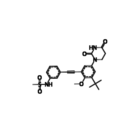 COc1c(C#Cc2cccc(NS(C)(=O)=O)c2)cc(N2CCC(=O)NC2=O)cc1C(C)(C)C